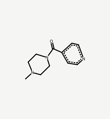 CN1CCN(C(=O)c2ccncc2)CC1